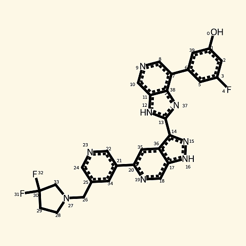 Oc1cc(F)cc(-c2cncc3[nH]c(-c4n[nH]c5cnc(-c6cncc(CN7CCC(F)(F)C7)c6)cc45)nc23)c1